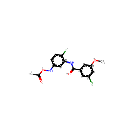 CC(C)(C)C(=O)ONc1ccc(F)c(NC(=O)c2cc(Cl)cc(OC(F)(F)F)c2)c1